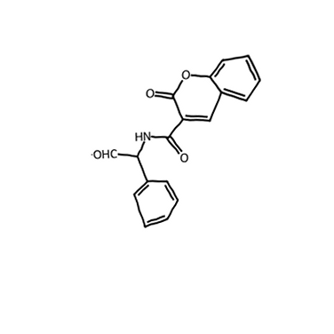 O=[C]C(NC(=O)c1cc2ccccc2oc1=O)c1ccccc1